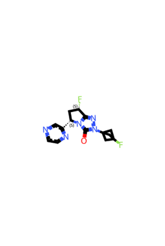 O=c1n(C23CC(F)(C2)C3)nc2n1[C@H](c1cnccn1)C[C@@H]2F